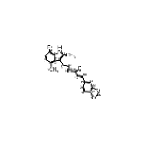 Cc1[nH]c2c(F)ccc(C)c2c1CCNC(=O)C=Cc1ccc2c(c1)OCO2